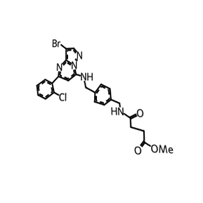 COC(=O)CCC(=O)NCc1ccc(CNc2cc(-c3ccccc3Cl)nc3c(Br)cnn23)cc1